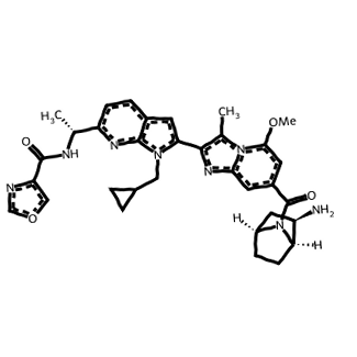 COc1cc(C(=O)N2[C@H]3CC[C@@H]2[C@H](N)C3)cc2nc(-c3cc4ccc([C@@H](C)NC(=O)c5cocn5)nc4n3CC3CC3)c(C)n12